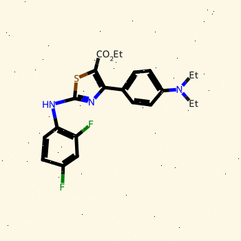 CCOC(=O)c1sc(Nc2ccc(F)cc2F)nc1-c1ccc(N(CC)CC)cc1